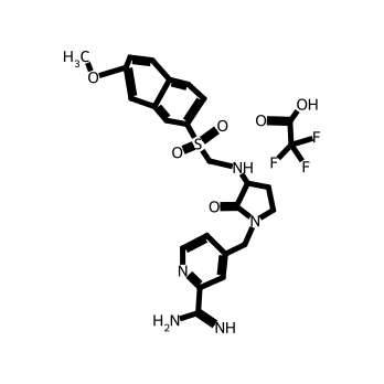 COc1ccc2ccc(S(=O)(=O)CNC3CCN(Cc4ccnc(C(=N)N)c4)C3=O)cc2c1.O=C(O)C(F)(F)F